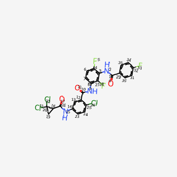 O=C(Nc1c(F)ccc(NC(=O)c2cc(NC(=O)C3CC3(Cl)Cl)ccc2Cl)c1F)c1ccc(F)cc1